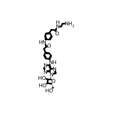 NCCNC(=O)Cc1ccc(NC(=O)Cc2ccc(Nc3ncnc4c3ncn4[C@@H]3O[C@H](CO)C(O)C3O)cc2)cc1